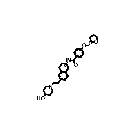 O=C(N[C@H]1CCc2cc(CCN3CCC(O)CC3)ccc2C1)c1ccc(OC[C@@H]2CCCO2)cc1